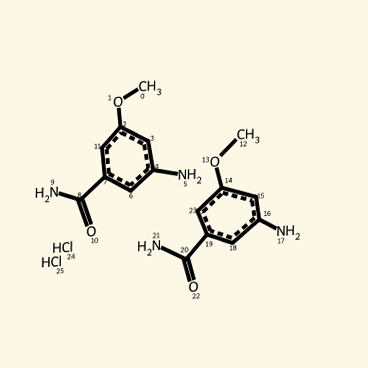 COc1cc(N)cc(C(N)=O)c1.COc1cc(N)cc(C(N)=O)c1.Cl.Cl